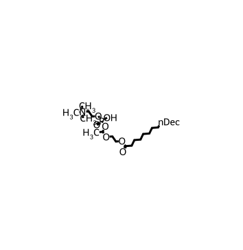 CCCCCCCCCCCCCCCCCC(=O)OCCOC(C)OP(=O)(O)OCC[N+](C)(C)C